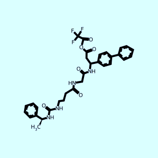 C[C@H](NC(=O)NCCCC(=O)NCC(=O)NC(CC(=O)OC(=O)C(F)(F)F)c1ccc(-c2ccccc2)cc1)c1ccccc1